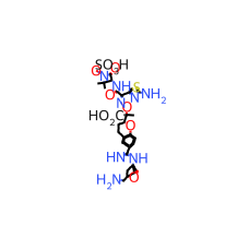 CC(ON=C(C(=O)NC1C(=O)N(OS(=O)(=O)O)C1(C)C)c1csc(N)n1)(C(=O)O)C1CCc2cc(C(=N)NC34COC(CN)(C3)C4)ccc2O1